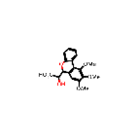 COc1cc2c(c(OC)c1OC)-c1ccccc1OC2C(O)C(=O)O